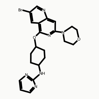 Brc1cnc2cc(N3CCOCC3)nc(OC3CCC(Nc4ncccn4)CC3)c2c1